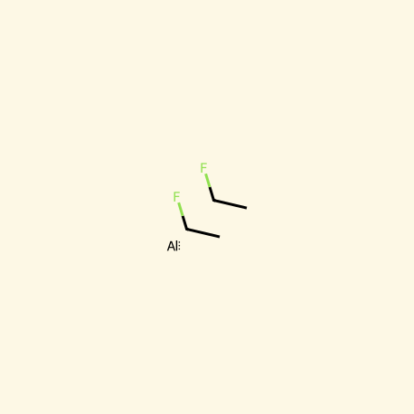 CCF.CCF.[Al]